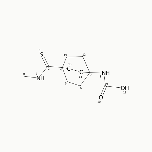 CNC(=S)C12CCC(NC(=O)O)(CC1)CC2